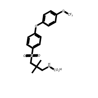 CC(C)(CNC(=O)O)CS(=O)(=O)c1ccc(Oc2ccc(OC(F)(F)F)cc2)cc1